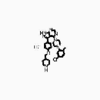 Cc1ccc(Cl)cc1N1CCN(c2ncnc3[nH]nc(-c4ccc(OCC5CCNCC5)cc4)c23)CC1.Cl